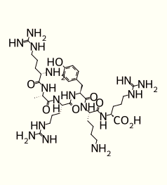 C[C@H](NC(=O)[C@@H](N)CCCNC(=N)N)C(=O)N[C@@H](CCCNC(=N)N)C(=O)N[C@@H](Cc1ccc(O)cc1)C(=O)N[C@@H](CCCCN)C(=O)N[C@@H](CCCNC(=N)N)C(=O)O